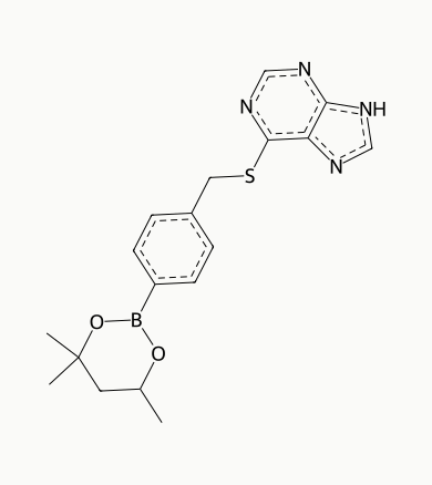 CC1CC(C)(C)OB(c2ccc(CSc3ncnc4[nH]cnc34)cc2)O1